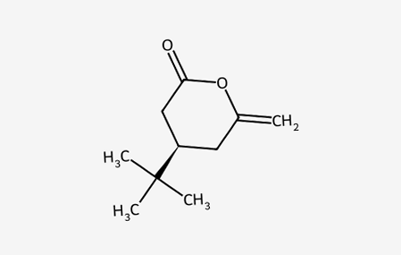 C=C1C[C@@H](C(C)(C)C)CC(=O)O1